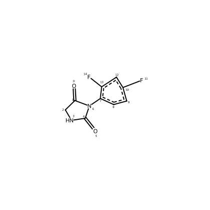 O=C1CNC(=O)N1c1ccc(F)cc1F